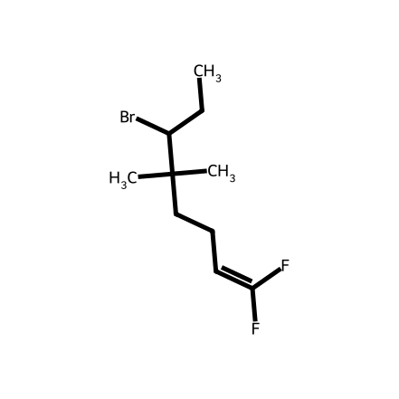 CCC(Br)C(C)(C)CCC=C(F)F